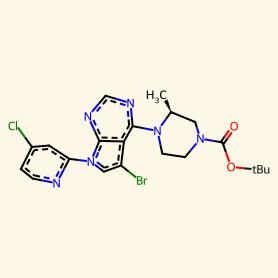 C[C@H]1CN(C(=O)OC(C)(C)C)CCN1c1ncnc2c1c(Br)cn2-c1cc(Cl)ccn1